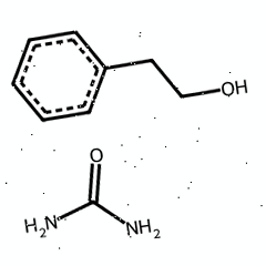 NC(N)=O.OCCc1ccccc1